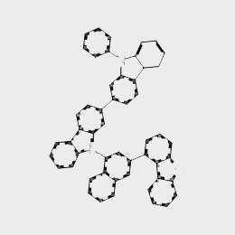 C1=CCC2C(=C1)N(c1ccccc1)c1cc(-c3ccc4c5ccccc5n(-c5cc(-c6cccc7oc8ccccc8c67)cc6ccccc56)c4c3)ccc12